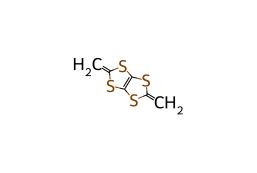 C=C1SC2=C(S1)SC(=C)S2